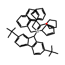 CC(C)(C)c1ccc2c(c1)[CH]([Zr]([CH2]c1ccccc1)([CH2]c1ccccc1)(=[C](c1ccccc1)C1CCCC1)[CH]1C=CC=C1)c1cc(C(C)(C)C)ccc1-2